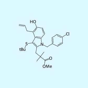 C=CCc1c(O)ccc2c1c(SC(C)(C)C)c(CC(C)(C)C(=O)OC)n2Cc1ccc(Cl)cc1